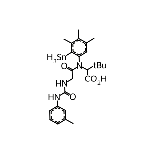 Cc1cccc(NC(=O)NCC(=O)N(c2cc(C)c(C)c(C)[c]2[SnH3])C(C(=O)O)C(C)(C)C)c1